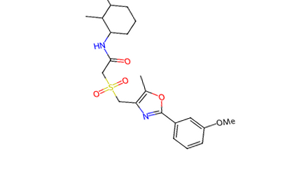 COc1cccc(-c2nc(CS(=O)(=O)CC(=O)NC3CCCC(C)C3C)c(C)o2)c1